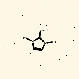 CC(C)N1C=CN(C(C)C)C1C(=O)O